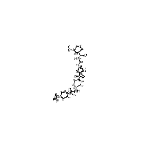 COc1cccc(C(=O)NCCc2ccc(S(=O)(=O)N3CCC(NC(C)(C)c4ccc(C(F)(F)F)cc4)CC3)s2)c1